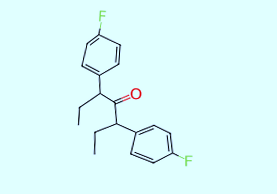 CCC(C(=O)C(CC)c1ccc(F)cc1)c1ccc(F)cc1